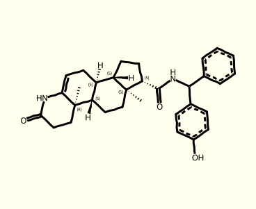 C[C@]12CC[C@H]3[C@@H](CC=C4NC(=O)CC[C@@]43C)[C@@H]1CC[C@@H]2C(=O)NC(c1ccccc1)c1ccc(O)cc1